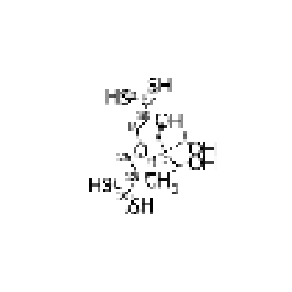 CCC(CO)(CO)CO.SC(S)CCOCCC(S)S